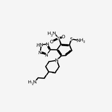 NCCC1CCN(c2ccc(SN)c(S(N)(=O)=O)c2-c2nn[nH]n2)CC1